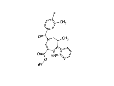 Cc1cc(C(=O)N2C=C(C(=O)OC(C)C)c3[nH]c4ncccc4c3C(C)C2)ccc1F